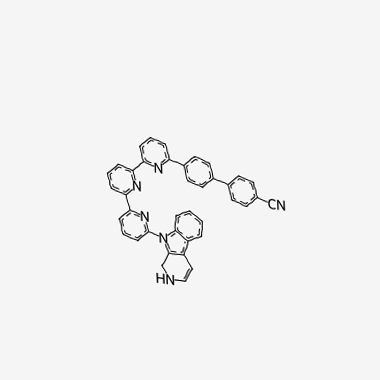 N#Cc1ccc(-c2ccc(-c3cccc(-c4cccc(-c5cccc(-n6c7c(c8ccccc86)C=CNC7)n5)n4)n3)cc2)cc1